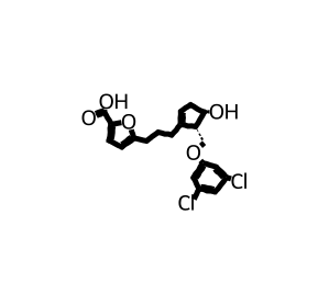 O=C(O)c1ccc(CCCC2=CC[C@@H](O)[C@@H]2COc2cc(Cl)cc(Cl)c2)o1